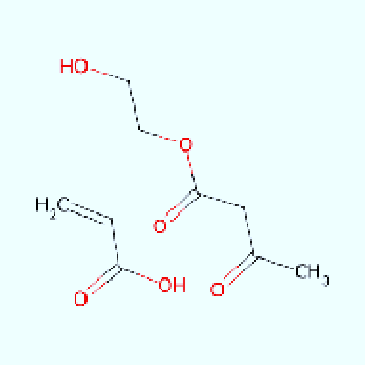 C=CC(=O)O.CC(=O)CC(=O)OCCO